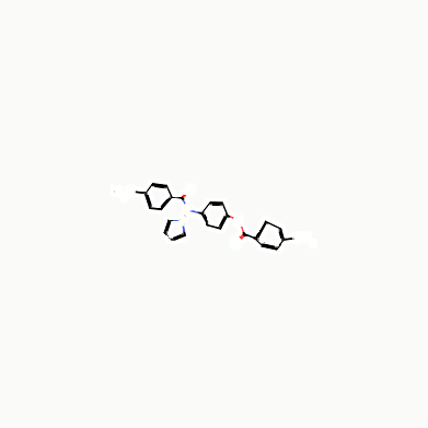 Cc1ccc(C(=O)Oc2ccc(N(C(=O)c3ccc(C)cc3)n3cccc3)cc2)cc1